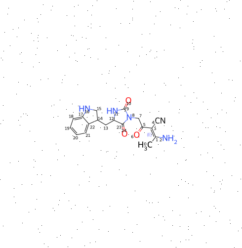 C/C(N)=C(/C#N)C(=O)CN1C(=O)NC(CC2CNc3ccccc32)C1=O